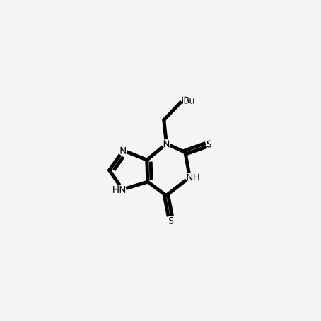 CCC(C)Cn1c(=S)[nH]c(=S)c2[nH]cnc21